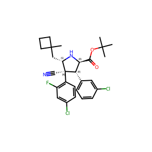 CC1(C[C@@H]2N[C@@H](C(=O)OC(C)(C)C)[C@H](c3cccc(Cl)c3)[C@@]2(C#N)c2ccc(Cl)cc2F)CCC1